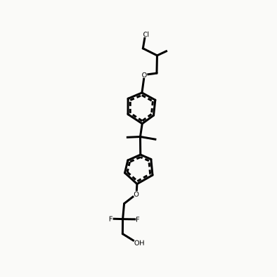 CC(CCl)COc1ccc(C(C)(C)c2ccc(OCC(F)(F)CO)cc2)cc1